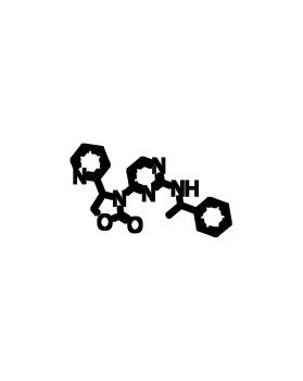 CC(Nc1nccc(N2C(=O)OCC2c2ccccn2)n1)c1ccccc1